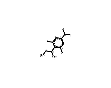 Cc1cc(C(C)C)cc(C)c1C(O)CBr